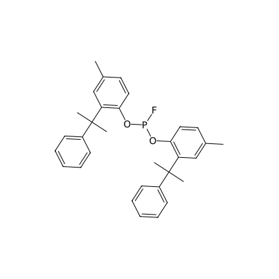 Cc1ccc(OP(F)Oc2ccc(C)cc2C(C)(C)c2ccccc2)c(C(C)(C)c2ccccc2)c1